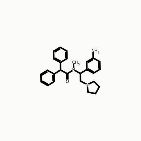 CN(C(=O)C(c1ccccc1)c1ccccc1)C(CN1CCCC1)c1cccc(N)c1